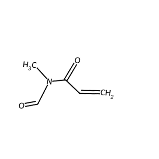 C=CC(=O)N(C)C=O